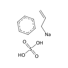 C=C[CH2][Na].O=S(=O)(O)O.c1ccccc1